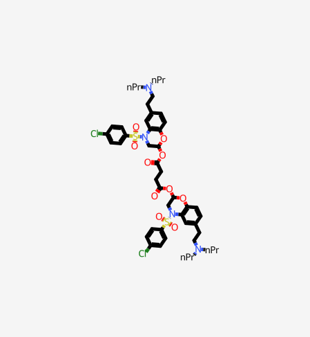 CCCN(CCC)CCc1ccc2c(c1)N(S(=O)(=O)c1ccc(Cl)cc1)CC(OC(=O)CCC(=O)OC1CN(S(=O)(=O)c3ccc(Cl)cc3)c3cc(CCN(CCC)CCC)ccc3O1)O2